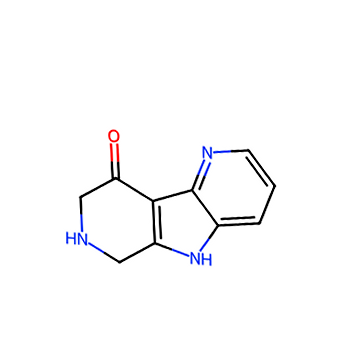 O=C1CNCc2[nH]c3cccnc3c21